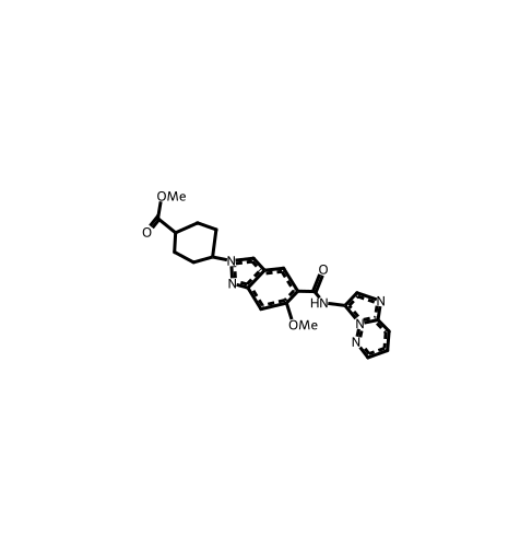 COC(=O)C1CCC(n2cc3cc(C(=O)Nc4cnc5cccnn45)c(OC)cc3n2)CC1